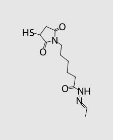 C/C=N/NC(=O)CCCCCN1C(=O)CC(S)C1=O